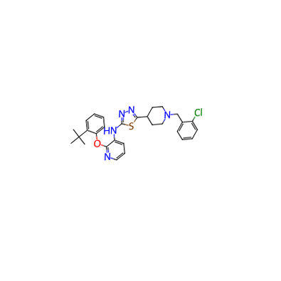 CC(C)(C)c1ccccc1Oc1ncccc1Nc1nnc(C2CCN(Cc3ccccc3Cl)CC2)s1